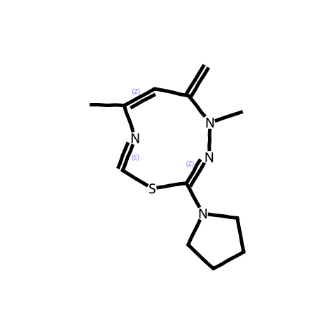 C=C1/C=C(C)\N=C\S/C(N2CCCC2)=N\N1C